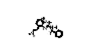 CN(C)CCc1cccc2[nH]c(NC(=O)c3ccccc3)nc12.Cl